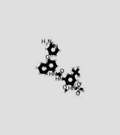 COc1c(NC(=O)Nc2ccc(Oc3ccnc(N)c3)c3ccccc23)cc(C(C)(C)C)cc1NS(C)(=O)=O